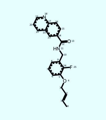 CC=CCOc1cccc(CNC(=O)c2ccc3ncccc3c2)c1F